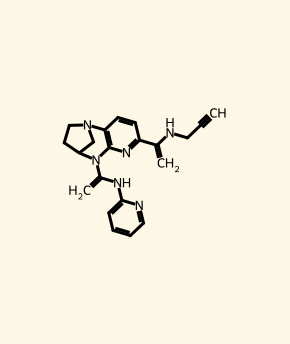 C#CCNC(=C)c1ccc2c(n1)N(C(=C)Nc1ccccn1)C1CCN2C1